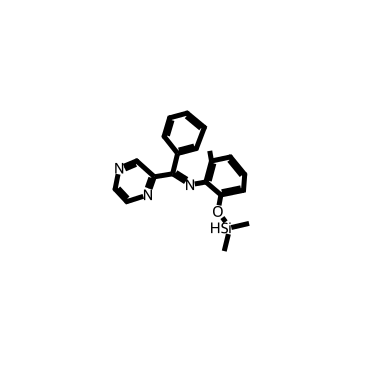 Cc1cccc(O[SiH](C)C)c1N=C(c1ccccc1)c1cnccn1